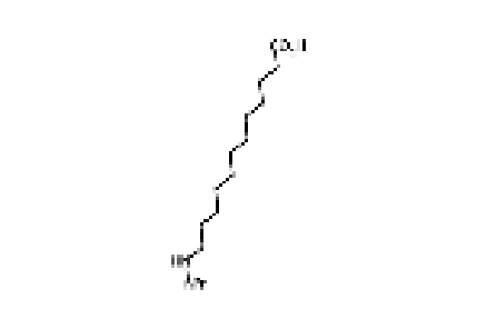 CCCNCCCCCCCCCCCC(=O)O